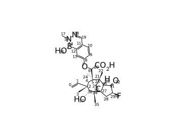 C=C[C@]1(C)C[C@@H](C(Oc2ccc3c(c2)B(O)N(C)N=C3)C(=O)O)[C@@]2(C)[C@H](C)CC[C@]3(C[C@H](F)C(=O)[C@H]32)[C@@H](C)[C@@H]1O